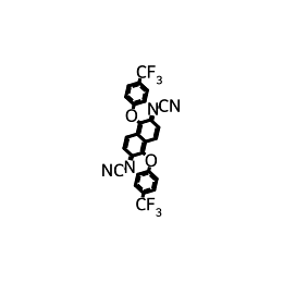 N#C/N=C1\C=CC2=C(Oc3ccc(C(F)(F)F)cc3)/C(=N/C#N)C=CC2=C1Oc1ccc(C(F)(F)F)cc1